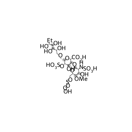 CCC(O)[C@H](O)[C@H](O)C(O)COC[C@@H]1OC(C(=O)O)[C@H](O[C@@H]2OC(COSOOO)[C@@H](OC)[C@@H](O)C2NS(=O)(=O)O)[C@@H](O)C1OS(=O)(=O)O